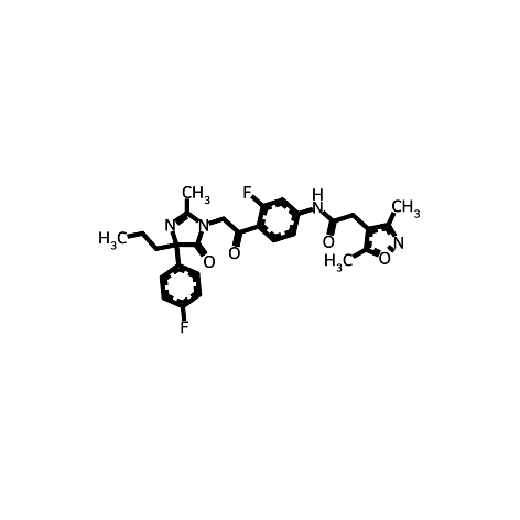 CCCC1(c2ccc(F)cc2)N=C(C)N(CC(=O)c2ccc(NC(=O)Cc3c(C)noc3C)cc2F)C1=O